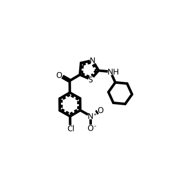 O=C(c1ccc(Cl)c([N+](=O)[O-])c1)c1cnc(NC2CCCCC2)s1